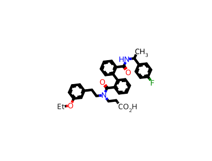 CCOc1cccc(CCN(CCC(=O)O)C(=O)c2ccccc2-c2ccccc2C(=O)NC(C)c2ccc(F)cc2)c1